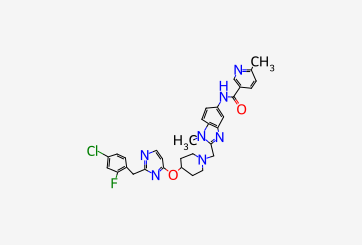 Cc1ccc(C(=O)Nc2ccc3c(c2)nc(CN2CCC(Oc4ccnc(Cc5ccc(Cl)cc5F)n4)CC2)n3C)cn1